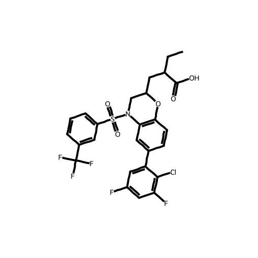 CCC(CC1CN(S(=O)(=O)c2cccc(C(F)(F)F)c2)c2cc(-c3cc(F)cc(F)c3Cl)ccc2O1)C(=O)O